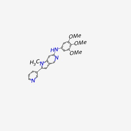 COc1cc(Nc2cc3c(cn2)cc(-c2cccnc2)n3C)cc(OC)c1OC